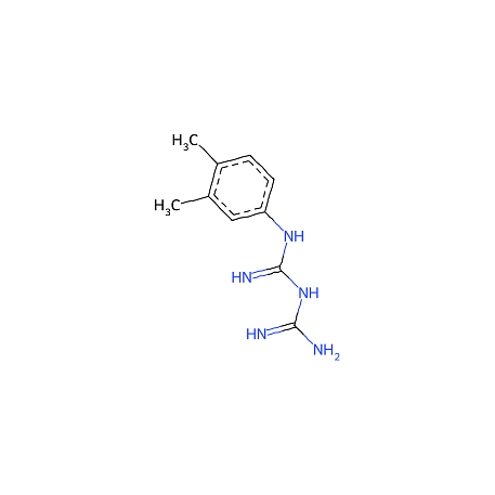 Cc1ccc(NC(=N)NC(=N)N)cc1C